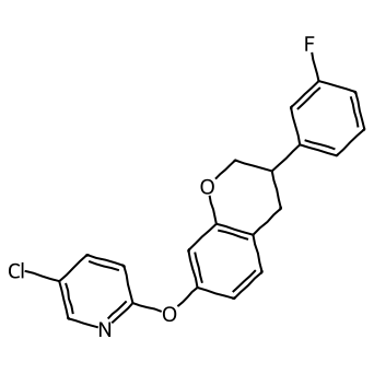 Fc1cccc(C2COc3cc(Oc4ccc(Cl)cn4)ccc3C2)c1